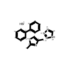 Br.Cc1csc(C)n1.c1ccc(-c2ccccc2)cc1.c1nnn[nH]1